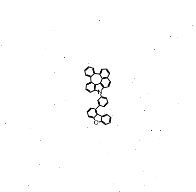 c1cc(-c2cccc3oc4ccccc4c23)cc(-n2c3cccc4c3c3c5c(cccc5ccc32)-c2ccccc2-4)c1